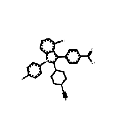 N#CC1CCC(c2c(-c3ccc(C(=O)O)cc3)c3c(O)cccc3n2-c2ccc(F)cc2)CC1